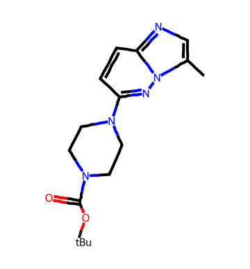 Cc1cnc2ccc(N3CCN(C(=O)OC(C)(C)C)CC3)nn12